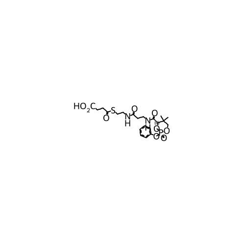 CC1(C)COP(=O)(Oc2ccccc2)O[C@H]1C(=O)NCCC(=O)NCCSC(=O)CCC(=O)O